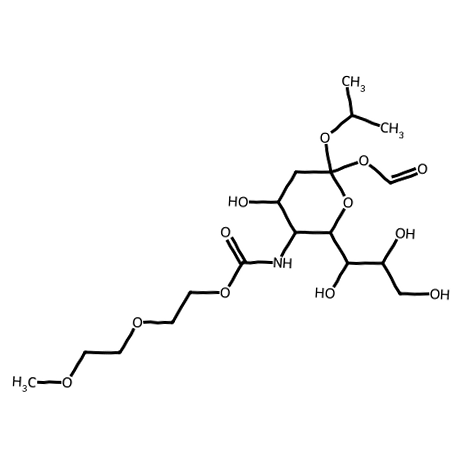 COCCOCCOC(=O)NC1C(O)CC(OC=O)(OC(C)C)OC1C(O)C(O)CO